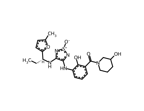 CC[C@@H](Nc1n[s+]([O-])nc1Nc1cccc(C(=O)N2CCCC(O)C2)c1O)c1ccc(C)o1